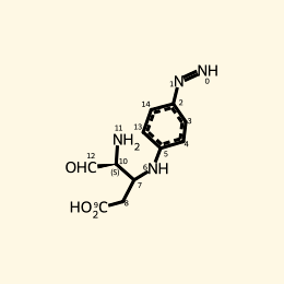 N=Nc1ccc(NC(CC(=O)O)[C@H](N)C=O)cc1